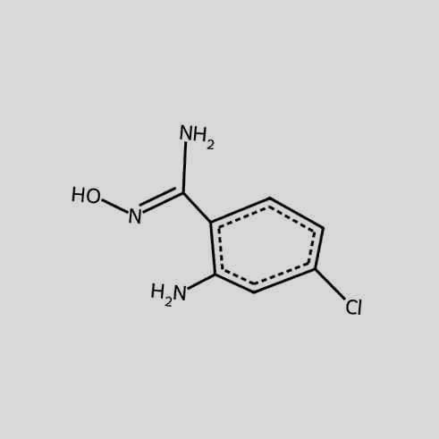 NC(=NO)c1ccc(Cl)cc1N